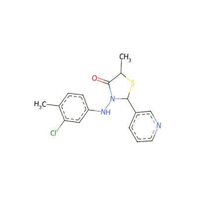 Cc1ccc(NN2C(=O)C(C)SC2c2cccnc2)cc1Cl